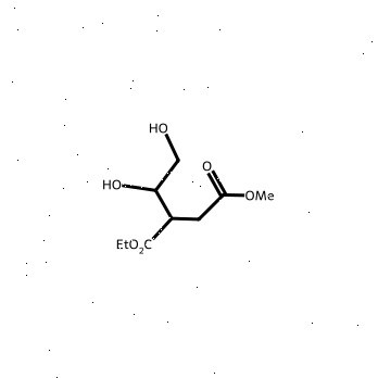 CCOC(=O)C(CC(=O)OC)C(O)CO